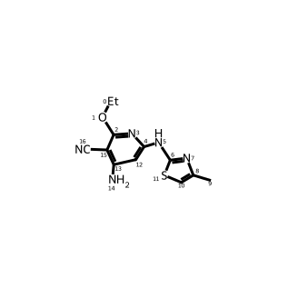 CCOc1nc(Nc2nc(C)cs2)cc(N)c1C#N